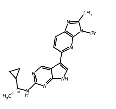 Cc1nc2ccc(-c3c[nH]c4nc(N[C@H](C)C5CC5)ncc34)nc2n1C(C)C